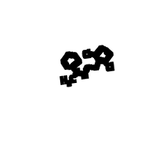 CN(N=CCc1c(Cl)cccc1Cl)c1ccccc1